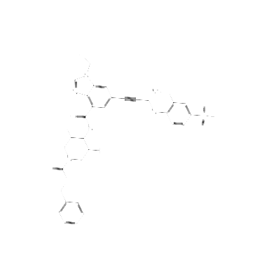 COc1cc(S(C)(=O)=O)ccc1NCC#Cc1cc(C(=O)NC2C(C)CN(C(=O)OCc3ccccc3)CC2F)c2ncn(CC(F)(F)F)c2c1